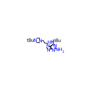 CCCCNc1nc(N)nc2ncn(CCCN3CCN(C(C)(C)C)CC3)c12